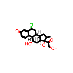 CC1C[C@H]2[C@@H]3CC(Cl)C4=CC(=O)C=C[C@]4(C)[C@H]3[C@@H](O)C[C@]2(C)[C@@]1(O)C(=O)CO